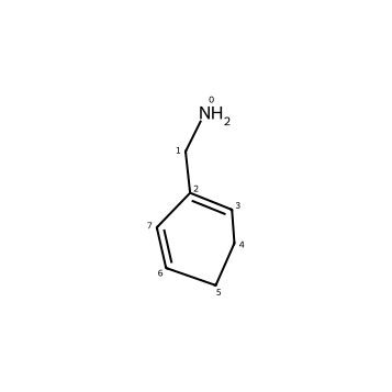 NCC1=CCCC=C1